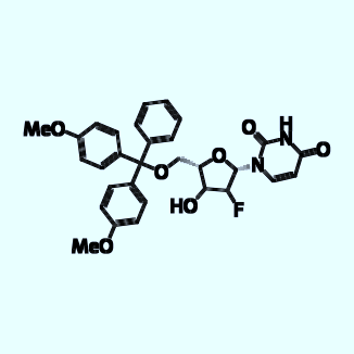 COc1ccc(C(OC[C@@H]2O[C@H](n3ccc(=O)[nH]c3=O)C(F)C2O)(c2ccccc2)c2ccc(OC)cc2)cc1